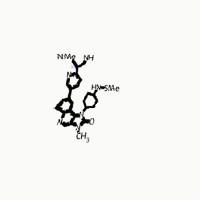 CN/C=C(\C=N)c1ccc(-c2ccc3ncc4c(c3c2)n(C2CCC(NSC)CC2)c(=O)n4C)cn1